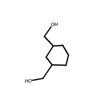 OCC1[CH]CCC(CO)C1